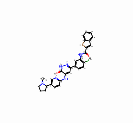 CN1CCCC1c1ccc(Nc2cc(-c3ccc(F)c(NC(=O)c4cc5ccccc5s4)c3)n[nH]c2=O)nc1